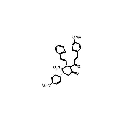 COC1=CCC([C@H]2CC(=O)C(C(=O)/C=C/c3ccc(OC)cc3)[C@H](/C=C/c3ccccc3)[C@H]2[N+](=O)[O-])C=C1